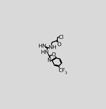 N=C(NCC(=O)CCl)Nc1nc2cc(C(F)(F)F)ccc2o1